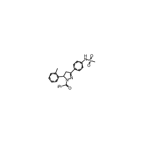 Cc1ccccc1C1CC(c2ccc(NS(C)(=O)=O)cc2)=NN1C(=O)C(C)C